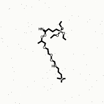 CCO[Si](CCCC(=N)OOC(C)COCCOOCNCCC[Si](C)(C)C)(OCC)OCC